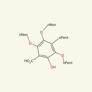 CCCCCCCCCOc1c(CCCCC)c(OCCCCC)c(O)c(C(=O)O)c1OCCCCCCCCC